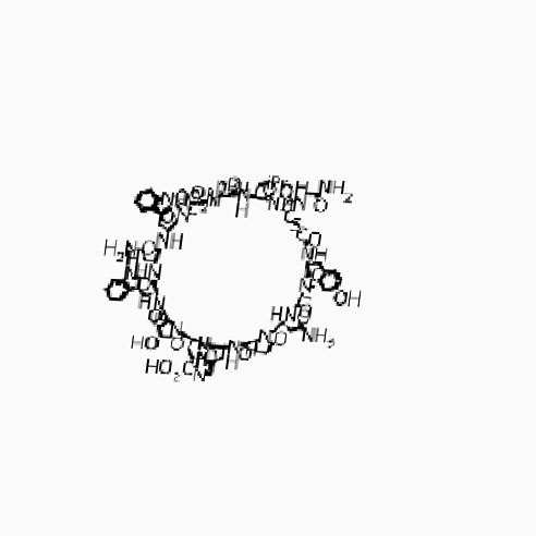 CCCC[C@H]1C(=O)N[C@@H](CC(C)C)C(=O)N[C@H](C(=O)NCC(N)=O)CSCC(=O)N[C@@H](Cc2ccc(O)cc2)C(=O)N(C)[C@@H](C)C(=O)N[C@@H](CC(N)=O)C(=O)N2CCC[C@H]2C(=O)N[C@@H](Cc2cnc[nH]2)C(=O)N[C@@H](CCC(=O)O)C(=O)N2C[C@H](O)C[C@H]2C(=O)N[C@@H](Cc2c[nH]c3ccccc23)C(=O)N[C@@H](CCN)C(=O)N[C@@H](Cc2c[nH]c3ccccc23)C(=O)N(CC(=O)O)CC(=O)N1C